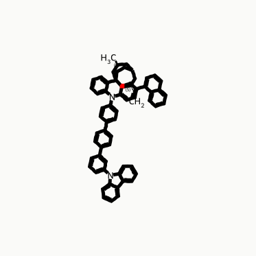 C=C[C@H]1CC2CCC(c3ccccc3N(c3ccc(-c4ccc(-c5cccc(-n6c7ccccc7c7ccccc76)c5)cc4)cc3)c3ccc(-c4cccc5ccccc45)cc3)(C[C@@H](C)C2)C1